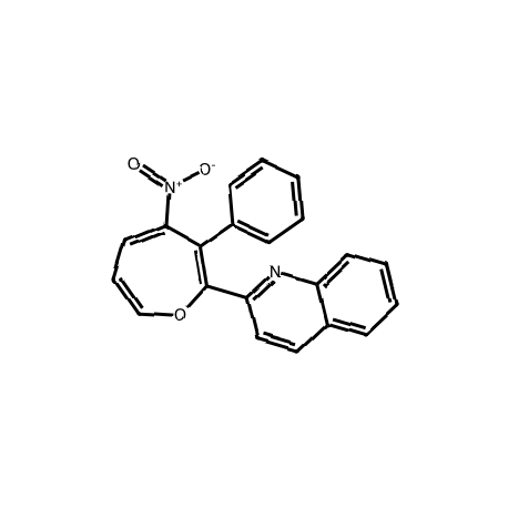 O=[N+]([O-])C1=CC=COC(c2ccc3ccccc3n2)=C1c1ccccc1